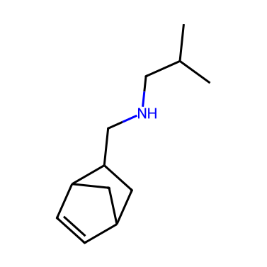 CC(C)CNCC1CC2C=CC1C2